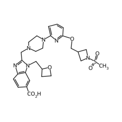 CS(=O)(=O)N1CC(COc2cccc(N3CCN(Cc4nc5ccc(C(=O)O)cc5n4CC4CCO4)CC3)n2)C1